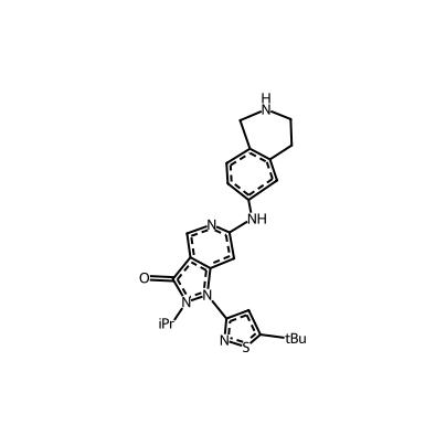 CC(C)n1c(=O)c2cnc(Nc3ccc4c(c3)CCNC4)cc2n1-c1cc(C(C)(C)C)sn1